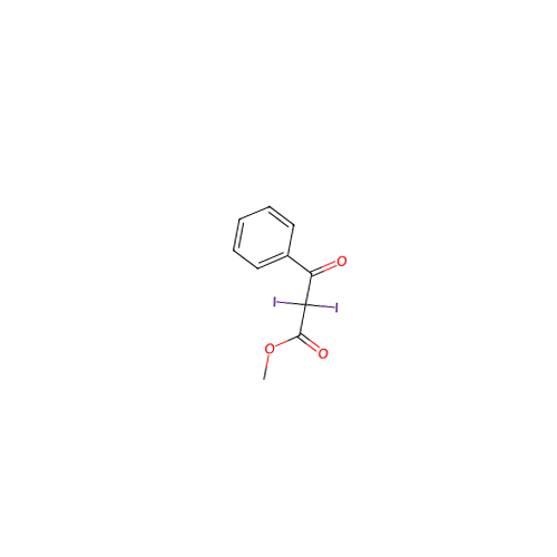 COC(=O)C(I)(I)C(=O)c1ccccc1